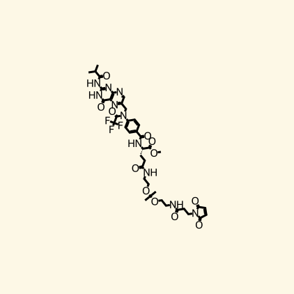 COC(=O)[C@H](CCC(=O)NCCOC(C)(C)OCCNC(=O)CCN1C(=O)C=CC1=O)NC(=O)c1ccc(N(Cc2cnc3nc(NC(=O)C(C)C)[nH]c(=O)c3n2)C(=O)C(F)(F)F)cc1